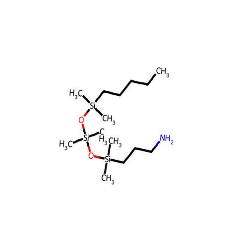 CCCCC[Si](C)(C)O[Si](C)(C)O[Si](C)(C)CCCN